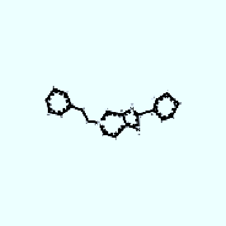 c1ccc(CCn2ccc3nc(-c4ccccc4)nc-3c2)cc1